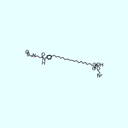 C[N+](C)(C)CCOP(=O)(O)OCCCCCCCCCCCCCCCCCCc1ccc(NC(=O)CCC/N=C/B=O)cc1